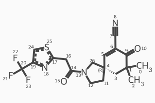 CC1(C)C[C@]2(C=C(C#N)C1=O)CCN(C(=O)Cc1nc(C(F)(F)F)cs1)C2